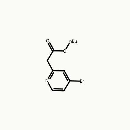 CCCCOC(=O)Cc1cc(Br)ccn1